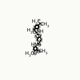 COc1ccc(NC(=O)N2CCc3nc(C(=O)Nc4cc(C(C)C)ccc4N)sc3C2)cc1OC